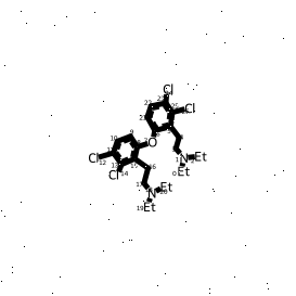 CCN(CC)CCc1c(Oc2ccc(Cl)c(Cl)c2CCN(CC)CC)ccc(Cl)c1Cl